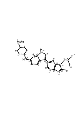 CO[C@H]1CC[C@@H](Nc2ncc3c(-c4cnc5nc(C)n(CC(F)F)c5n4)c[nH]c3n2)CC1